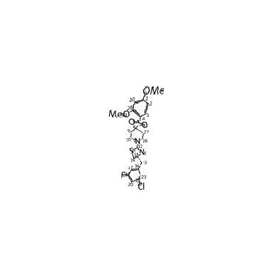 COc1ccc(S(=O)(=O)C2CCN(c3nc(Cc4cc(F)cc(Cl)c4)cs3)CC2)c(OC)c1